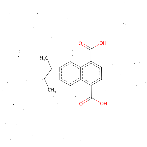 CCCC.O=C(O)c1ccc(C(=O)O)c2ccccc12